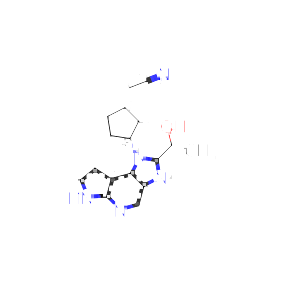 C[C@@H](O)c1nc2cnc3[nH]ccc3c2n1[C@@H]1CC[C@H](CC#N)C1